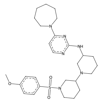 COc1ccc(S(=O)(=O)N2CCCC(N3CCCC(Nc4nccc(N5CCCCCC5)n4)C3)C2)cc1